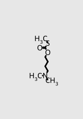 CSC(=O)OCCCCN(C)C